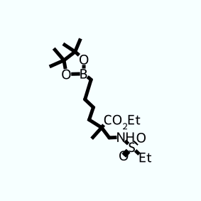 CCOC(=O)C(C)(CCCCB1OC(C)(C)C(C)(C)O1)CNS(=O)(=O)CC